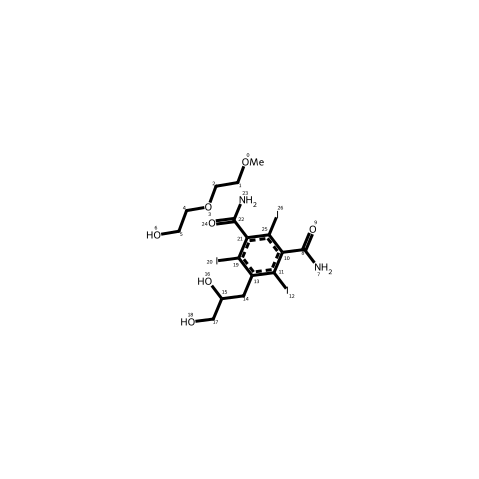 COCCOCCO.NC(=O)c1c(I)c(CC(O)CO)c(I)c(C(N)=O)c1I